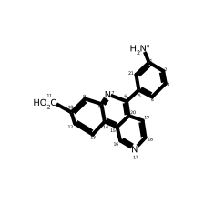 Nc1cccc(-c2nc3cc(C(=O)O)ccc3c3cnccc23)c1